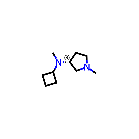 CN1CC[C@@H](N(C)C2CCC2)C1